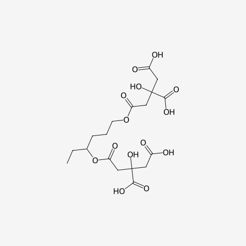 CCC(CCCOC(=O)CC(O)(CC(=O)O)C(=O)O)OC(=O)CC(O)(CC(=O)O)C(=O)O